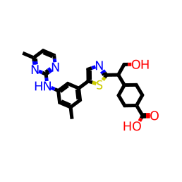 Cc1cc(Nc2nccc(C)n2)cc(-c2cnc(C(CO)C3CCC(C(=O)O)CC3)s2)c1